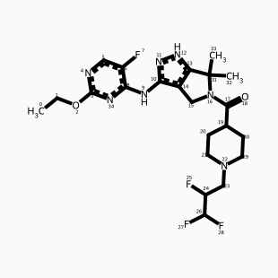 CCOc1ncc(F)c(Nc2n[nH]c3c2CN(C(=O)C2CCN(CC(F)C(F)F)CC2)C3(C)C)n1